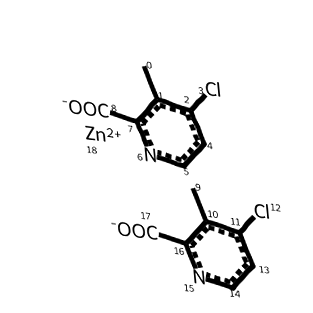 Cc1c(Cl)ccnc1C(=O)[O-].Cc1c(Cl)ccnc1C(=O)[O-].[Zn+2]